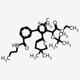 CCCNC(=O)c1cccc(-c2sc(C)c(C(OC(C)(C)C)C(=O)OCC)c2C2=CCC(C)(C)CC2)c1